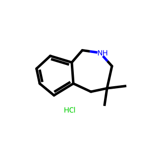 CC1(C)CNCc2ccccc2C1.Cl